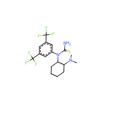 CN(C)C1CCCCC1N(C(N)=S)c1cc(C(F)(F)F)cc(C(F)(F)F)c1